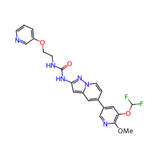 COc1ncc(-c2ccn3nc(NC(=O)NCCOc4cccnc4)cc3c2)cc1OC(F)F